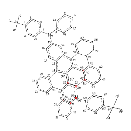 CC(C)(C)c1ccc(N(c2ccccc2)c2ccc3c(-c4ccccc4-c4ccccc4)c4c(c(C5=CC=CCC5c5ccccc5)c3c2)=CCC(N(c2ccccc2)c2ccc(C(C)(C)C)cc2)C=4)cc1